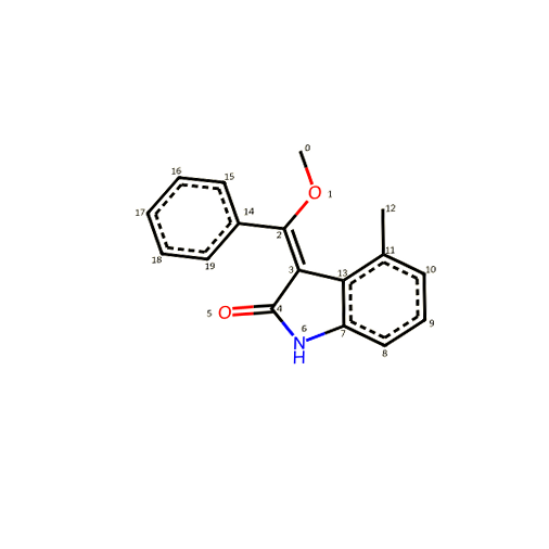 COC(=C1C(=O)Nc2cccc(C)c21)c1ccccc1